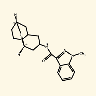 Cn1nc(C(=O)NC2CC3C[C@H]4CCN3[C@@H](C2)C4)c2ccccc21